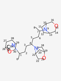 CC(CCC(CCC(C)N1C2CCC1COC2)N1CC2CC1CO2)N1CC2CCC1CO2